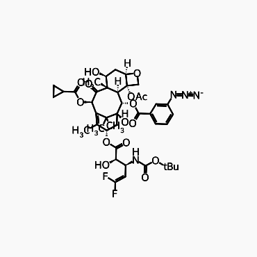 CC(=O)O[C@@]12CO[C@@H]1C[C@H](O)[C@@]1(C)C(=O)[C@H](OC(=O)C3CC3)C3=C(C)[C@@H](OC(=O)[C@H](O)[C@H](C=C(F)F)NC(=O)OC(C)(C)C)C[C@@](O)([C@@H](OC(=O)c4cccc(N=[N+]=[N-])c4)[C@H]21)C3(C)C